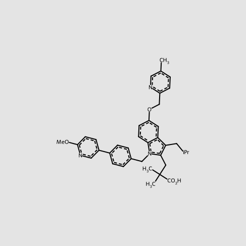 COc1ccc(-c2ccc(Cn3c(CC(C)(C)C(=O)O)c(CC(C)C)c4cc(OCc5ccc(C)cn5)ccc43)cc2)cn1